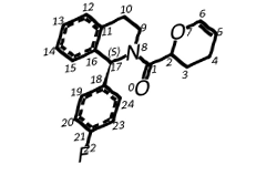 O=C(C1CCC=CO1)N1CCc2ccccc2[C@@H]1c1ccc(F)cc1